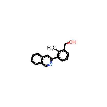 Cc1c(CO)cccc1-c1cc2ccccc2cn1